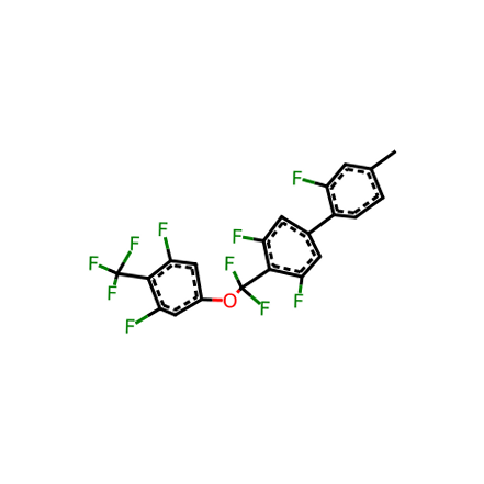 Cc1ccc(-c2cc(F)c(C(F)(F)Oc3cc(F)c(C(F)(F)F)c(F)c3)c(F)c2)c(F)c1